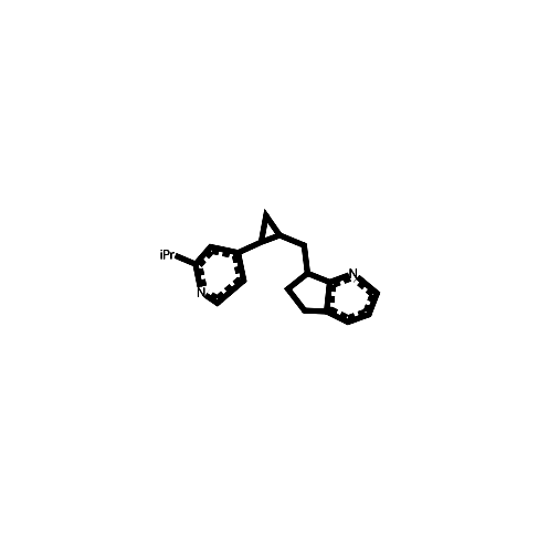 CC(C)c1cc(C2CC2CC2CCc3cccnc32)ccn1